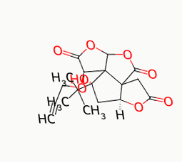 C#CCO[C@H]1C(=O)OC2OC(=O)C34CC(=O)O[C@H]3C[C@@](O)(C(C)(C)C)C214